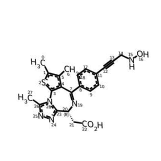 Cc1sc2c(c1C)C(c1ccc(C#CCNO)cc1)=N[C@H](CC(=O)O)c1nnc(C)n1-2